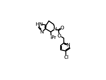 CC(C)C1c2nc[nH]c2CCN1C(=O)OCc1ccc(Cl)cn1